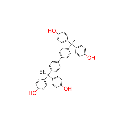 CCC(c1ccc(O)cc1)(c1ccc(O)cc1)c1ccc(-c2ccc(C(C)(c3ccc(O)cc3)c3ccc(O)cc3)cc2)cc1